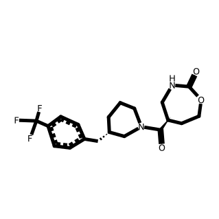 O=C1NC[C@H](C(=O)N2CCC[C@@H](Cc3ccc(C(F)(F)F)cc3)C2)CCO1